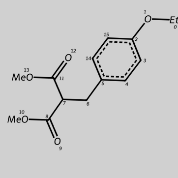 CCOc1ccc(CC(C(=O)OC)C(=O)OC)cc1